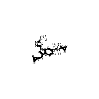 Cc1nnc(-n2cc(CC3CC3)c3ccc(SNC4(C)CC4)cc32)s1